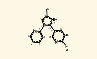 Cc1cc(-c2ccccc2)c(-c2ccc(F)cc2)[nH]1